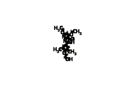 CCOc1cc(OCC)c2c(=O)[nH]c(-c3cc(C)c(OCCO)c(C)c3)nc2n1